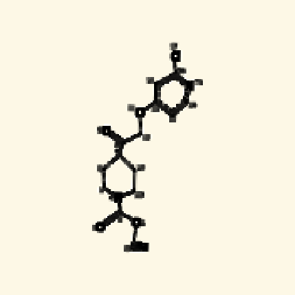 CC(C)(C)OC(=O)N1CCC(C(=O)COc2ccnc(Cl)c2)CC1